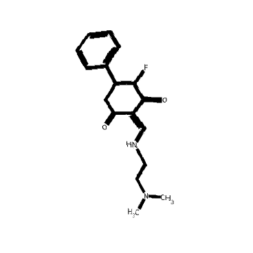 CN(C)CCNC=C1C(=O)CC(c2ccccc2)C(F)C1=O